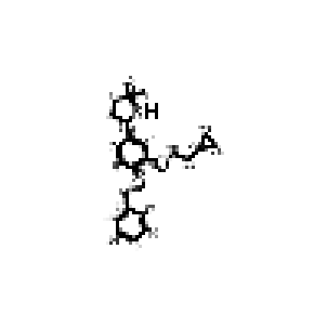 CC1(C)CCC(c2ccc(OCc3ccccc3)c(OCCC3CC3)c2)N1